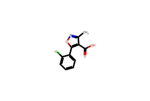 Cc1noc(-c2ccccc2Cl)c1C(=O)O